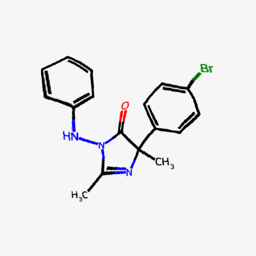 CC1=NC(C)(c2ccc(Br)cc2)C(=O)N1Nc1ccccc1